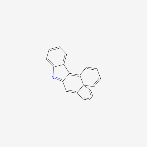 C1=CC2=CC3=Nc4ccccc4C3=C3C=CC=CC23C=C1